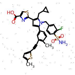 Cc1ccc(C#Cc2cc(-c3cc(-c4nc(C(=O)O)cs4)c(CC4CC4)n3Cc3ccc(S(N)(=O)=O)c(F)c3)ccc2C)s1